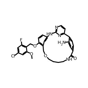 COc1cc(Cl)cc(F)c1COc1ccc2cc1COCCCCNC(=O)c1ccc(c(N)c1)-c1ccnc(n1)N2